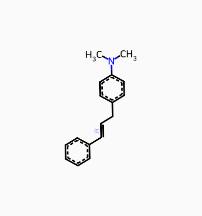 CN(C)c1ccc(C/C=C/c2ccccc2)cc1